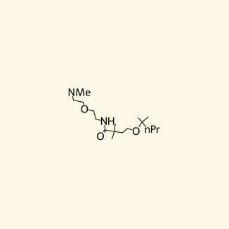 CCCC(C)(C)OCCC(C)(C)C(=O)NCCOCCNC